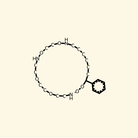 c1ccc(C2CCCCCCNOCCONCCOCCOCCNOO2)cc1